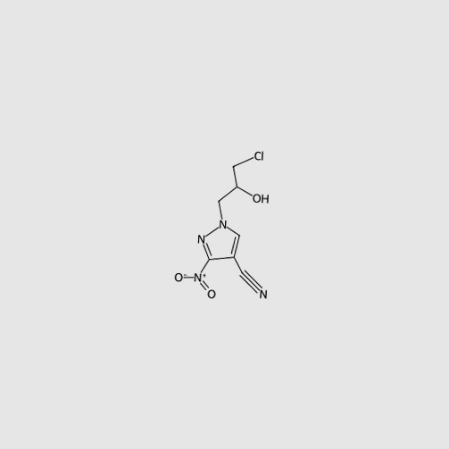 N#Cc1cn(CC(O)CCl)nc1[N+](=O)[O-]